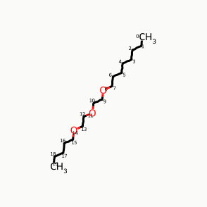 CCCCCCCCOCCOCCOCCCCC